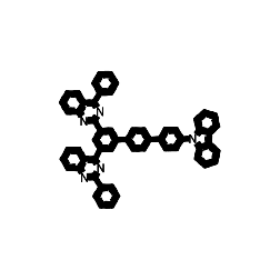 c1ccc(-c2nc(-c3cc(-c4ccc(-c5ccc(-n6c7ccccc7c7ccccc76)cc5)cc4)cc(-c4nc(-c5ccccc5)c5ccccc5n4)c3)c3ccccc3n2)cc1